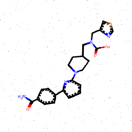 NC(=O)c1ccc(-c2cccc(N3CCC(CN(Cc4cscn4)C(=O)O)CC3)n2)cc1